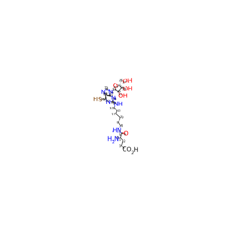 NC(CCC(=O)O)C(=O)NCCCCCCNc1nc(S)c2ncn([C@@H]3O[C@H](CO)C(O)C3O)c2n1